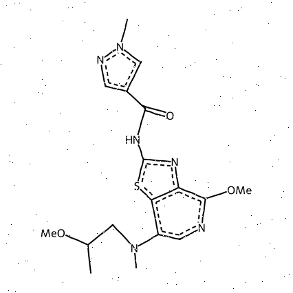 COc1ncc(N(C)CC(C)OC)c2sc(NC(=O)c3cnn(C)c3)nc12